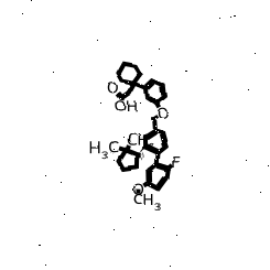 COc1ccc(F)c(-c2ccc(COc3cccc(C4(CC(=O)O)CCCCC4)c3)cc2[C@@H]2CCCC2(C)C)c1